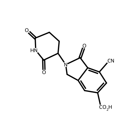 N#Cc1cc(C(=O)O)cc2c1C(=O)N(C1CCC(=O)NC1=O)C2